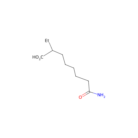 CCC(CCCCCC(N)=O)C(=O)O